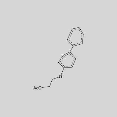 CC(=O)OCCOc1ccc(-c2ccccc2)cc1